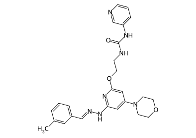 Cc1cccc(/C=N/Nc2cc(N3CCOCC3)cc(OCCNC(=O)Nc3cccnc3)n2)c1